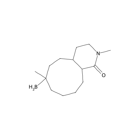 BC1(C)CCCCC2C(=O)N(C)CCC2CC1